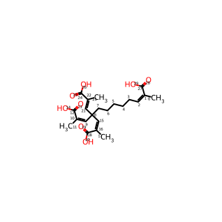 CC(=CCCCCCC(C=C(C)C(=O)O)(C=C(C)C(=O)O)C=C(C)C(=O)O)C(=O)O